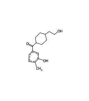 Cc1ccc(C(=O)C2CCC(CCO)CC2)cc1O